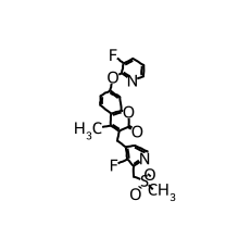 Cc1c(Cc2ccnc(CS(C)(=O)=O)c2F)c(=O)oc2cc(Oc3ncccc3F)ccc12